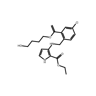 C=C(OCCCCO)c1cc(Cl)ccc1CNc1cc[nH]c1C(=O)OCC